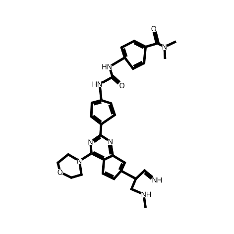 CNCC(C=N)c1ccc2c(N3CCOCC3)nc(-c3ccc(NC(=O)Nc4ccc(C(=O)N(C)C)cc4)cc3)nc2c1